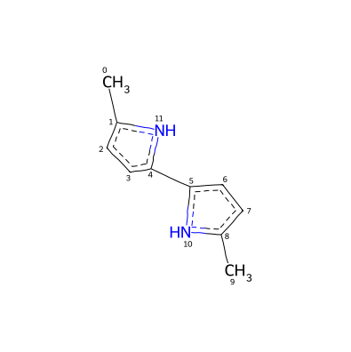 Cc1ccc(-c2ccc(C)[nH]2)[nH]1